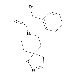 CCC(C(=O)N1CCC2(CC=NO2)CC1)c1ccccc1